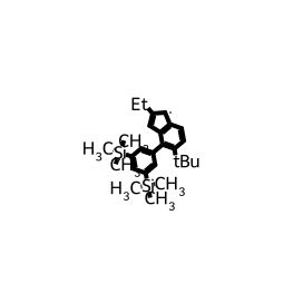 CCC1=Cc2c(ccc(C(C)(C)C)c2-c2cc([Si](C)(C)C)cc([Si](C)(C)C)c2)[CH]1